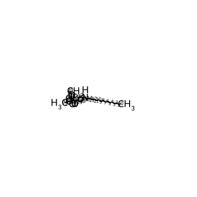 CCCCCCCCCCCCCCCCNc1ccc(C(=O)C(F)(C(=O)OCC)C(=O)OCC)cc1